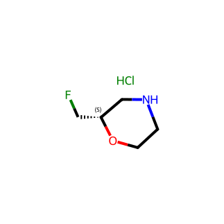 Cl.FC[C@@H]1CNCCO1